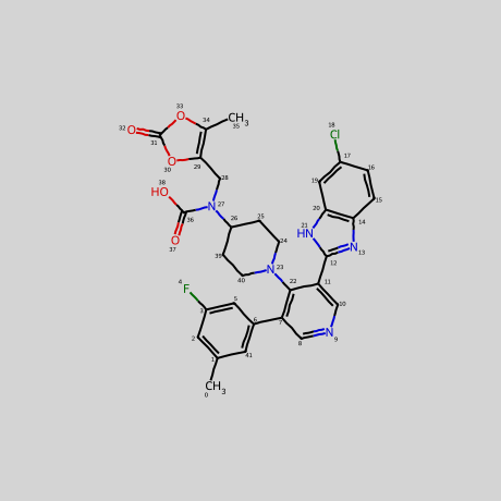 Cc1cc(F)cc(-c2cncc(-c3nc4ccc(Cl)cc4[nH]3)c2N2CCC(N(Cc3oc(=O)oc3C)C(=O)O)CC2)c1